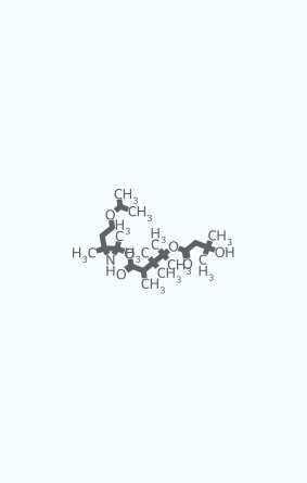 CC(C)OCCC1(C)NC1(C)OC(=O)C(C)C(C)(C)C(C)(C)OC(=O)CC(C)(C)O